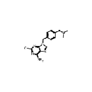 CN(C)Cc1ccc(Cn2cnc3c(N)nc(Cl)nc32)cc1